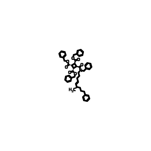 C[C@@H](/C=C/CCCN(Cc1ccccc1)C(=O)[C@H]1[C@H](C(=O)OCc2ccccc2)[C@H](C(=O)OCc2ccccc2)[C@H]1C(=O)OCc1ccccc1)CCCc1ccccc1